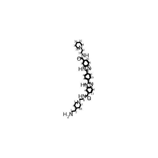 NCCC1CCN(CCNC(=O)c2ccc3nc(-c4ccc(-c5nc6ccc(C(=O)NCCN7CCCCC7)cc6[nH]5)cc4)[nH]c3c2)CC1